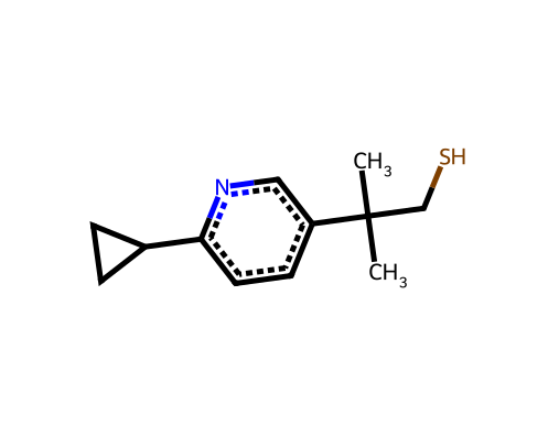 CC(C)(CS)c1ccc(C2CC2)nc1